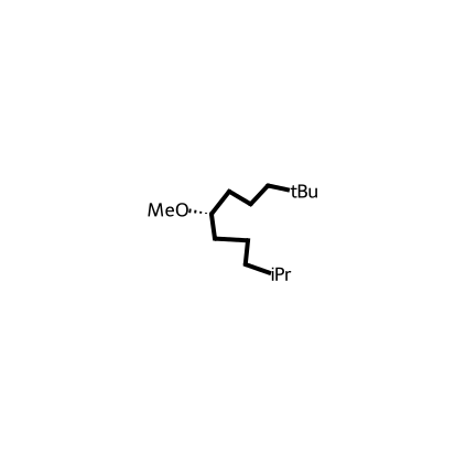 CO[C@@H](CCCC(C)C)CCCC(C)(C)C